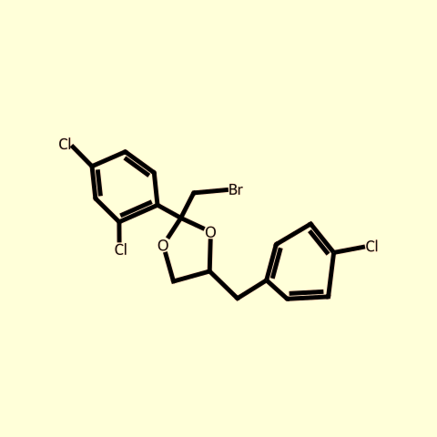 Clc1ccc(CC2COC(CBr)(c3ccc(Cl)cc3Cl)O2)cc1